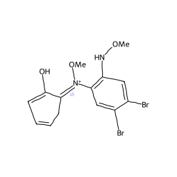 CONc1cc(Br)c(Br)cc1/[N+](OC)=C1\CC=CC=C1O